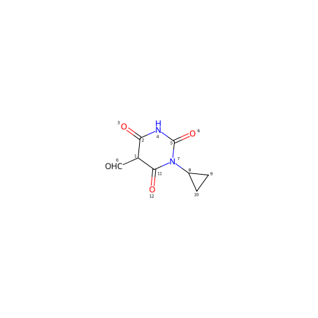 O=CC1C(=O)NC(=O)N(C2CC2)C1=O